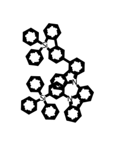 c1ccc([Si](c2ccccc2)(c2ccccc2)c2cccc(-n3c4ccccc4c4cccc(-n5c6ccccc6c6c(-c7ccc8c(c7)-c7ccccc7[Si]8(c7ccccc7)c7ccccc7)cccc65)c43)c2)cc1